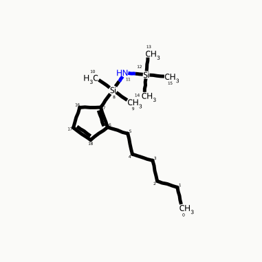 CCCCCCC1=C([Si](C)(C)N[Si](C)(C)C)CC=C1